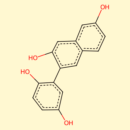 Oc1ccc(O)c(-c2cc3ccc(O)cc3cc2O)c1